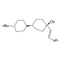 CCCC=C[C@]1(C#N)CC[C@@H](C2CCC(CCCC)CC2)CC1